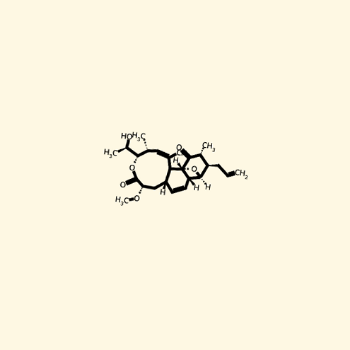 C=CC[C@H]1[C@@H]2O[C@@]34C(C)=C[C@@H](C)[C@@H]([C@@H](C)O)OC(=O)[C@@H](OC)C[C@H]3C=C[C@@H]2[C@H]4C(=O)[C@@H]1C